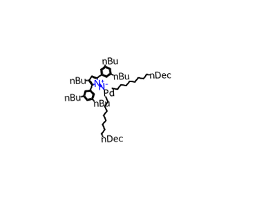 CCCCC1=C(c2cc(CCCC)cc(CCCC)c2)[N+](=[N-])C(c2cc(CCCC)cc(CCCC)c2)=C1.CCCCCCCCCCCCCCCCCC[CH2][Pd][CH2]CCCCCCCCCCCCCCCCCC